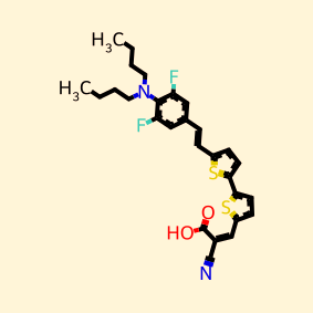 CCCCN(CCCC)c1c(F)cc(/C=C/c2ccc(-c3ccc(C=C(C#N)C(=O)O)s3)s2)cc1F